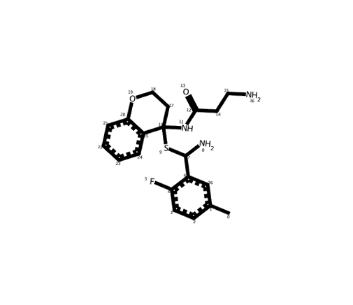 Cc1ccc(F)c(C(N)SC2(NC(=O)CCN)CCOc3ccccc32)c1